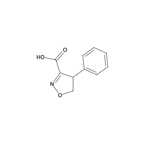 O=C(O)C1=NOCC1c1ccccc1